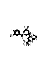 [2H]C([2H])([2H])c1cc(C2([2H])CN(C(=O)c3ccc(F)c(Br)c3)CC(F)(F)C2)n2ncnc2n1